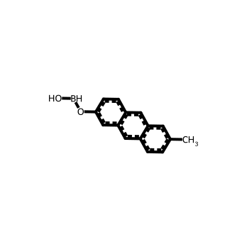 Cc1ccc2cc3cc(OBO)ccc3cc2c1